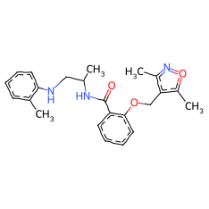 Cc1ccccc1NCC(C)NC(=O)c1ccccc1OCc1c(C)noc1C